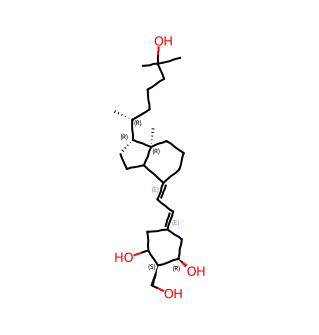 C[C@H](CCCC(C)(C)O)[C@H]1CCC2/C(=C/C=C3\CC(O)[C@H](CO)[C@H](O)C3)CCC[C@@]21C